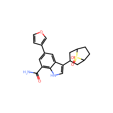 NC(=O)c1cc(-c2ccoc2)cc2c(C3CC4CCC(C3)S4(=O)=O)c[nH]c12